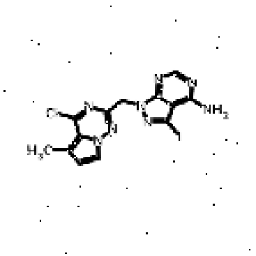 Cc1ccn2nc(Cn3nc(I)c4c(N)ncnc43)nc(Cl)c12